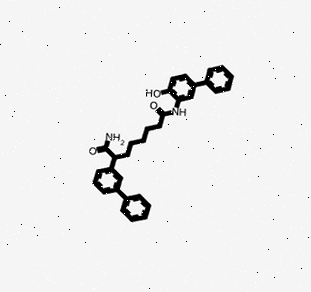 NC(=O)C(CCCCCC(=O)Nc1cc(-c2ccccc2)ccc1O)c1cccc(-c2ccccc2)c1